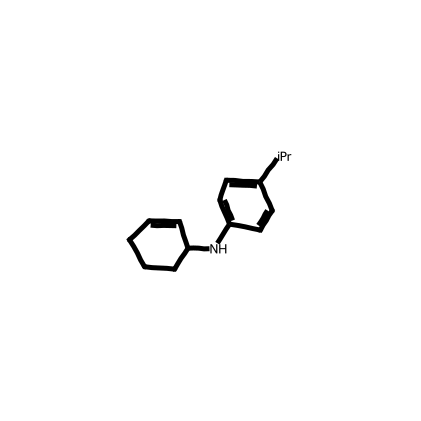 CC(C)c1ccc(NC2C=CCCC2)cc1